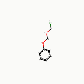 ClCOCOc1ccccc1